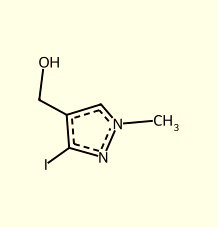 Cn1cc(CO)c(I)n1